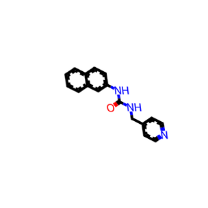 O=C(NCc1ccncc1)Nc1ccc2ccccc2c1